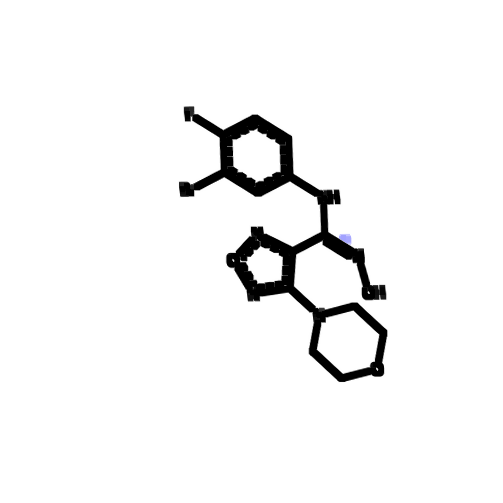 O/N=C(/Nc1ccc(F)c(Br)c1)c1nonc1N1CCOCC1